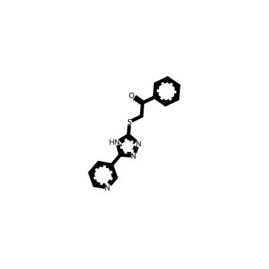 O=C(CSc1nnc(-c2cccnc2)[nH]1)c1ccccc1